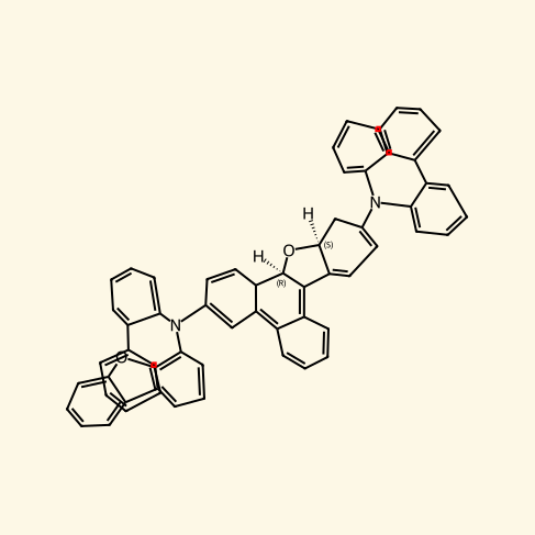 C1=CC2C(=c3ccccc3=C3C4=CC=C(N(c5ccccc5)c5ccccc5-c5ccccc5)C[C@@H]4O[C@@H]32)C=C1N(c1ccccc1-c1ccccc1)c1cccc2c1oc1ccccc12